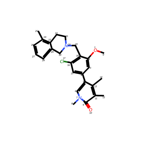 COc1cc(-c2cn(C)c(=O)c(C)c2C)cc(Cl)c1CN1CCc2c(C)cccc2C1